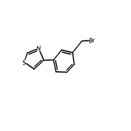 BrCc1cccc(-c2cscn2)c1